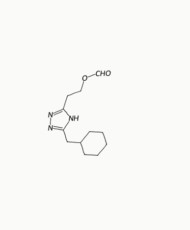 O=COCCc1nnc(CC2CCCCC2)[nH]1